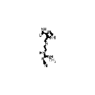 CN/C(=N\C#N)NCC/N=C/c1[nH]cnc1C(N)=O